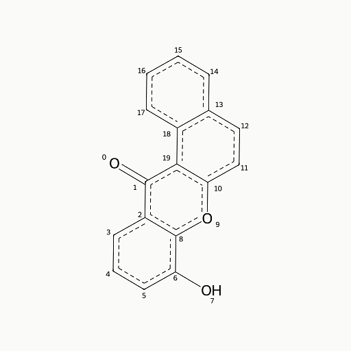 O=c1c2cccc(O)c2oc2ccc3ccccc3c12